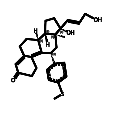 CSc1ccc([C@H]2C[C@@]3(C)[C@@H](CC[C@@]3(O)C=CCO)[C@@H]3CCC4=CC(=O)CCC4=C32)cc1